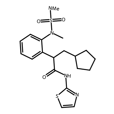 CNS(=O)(=O)N(C)c1ccccc1C(CC1CCCC1)C(=O)Nc1nccs1